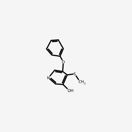 CSc1c(O)cncc1Oc1ccccc1